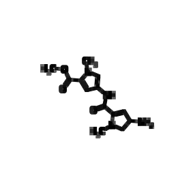 COC(=O)c1cc(NC(=O)C2=CC(N)CN2C)cn1C